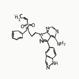 C=CS(=O)(=O)N(CCn1nc(-c2ccc3[nH]ncc3c2)c2c(N)ncnc21)c1ccccc1